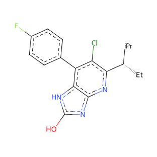 CC[C@H](c1nc2nc(O)[nH]c2c(-c2ccc(F)cc2)c1Cl)C(C)C